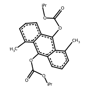 Cc1cccc2c(OC(=O)OC(C)C)c3c(C)cccc3c(OC(=O)OC(C)C)c12